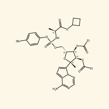 CCC(=O)O[C@H]1[C@@H](OC(=O)CC)[C@](C)(c2ccc3c(N)ncnn23)O[C@@H]1COP(=O)(N[C@@H](C)C(=O)OC1CCC1)Oc1ccc(C(C)(C)C)cc1